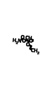 C=CCOC(=O)C(C)OC(N)=O